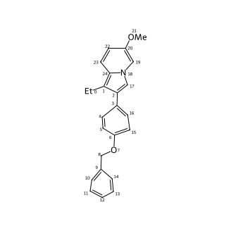 CCc1c(-c2ccc(OCc3ccccc3)cc2)cn2cc(OC)ccc12